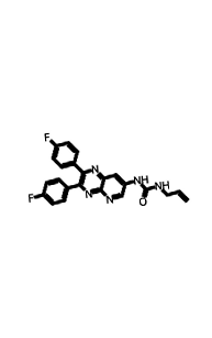 C=CCNC(=O)Nc1cnc2nc(-c3ccc(F)cc3)c(-c3ccc(F)cc3)nc2c1